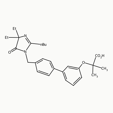 CCCCC1=NC(CC)(CC)C(=O)N1Cc1ccc(-c2cccc(OC(C)(C)C(=O)O)c2)cc1